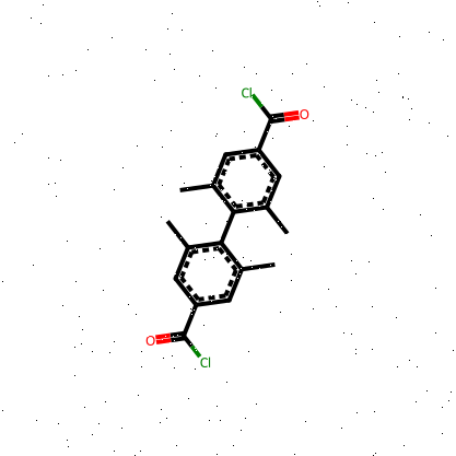 Cc1cc(C(=O)Cl)cc(C)c1-c1c(C)cc(C(=O)Cl)cc1C